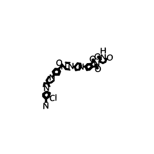 N#Cc1ccc(N2CCC3(CCN(c4ccc(C(=O)N5CCN(C6CCN(c7ccc8c(c7)C(=O)N(C7CCC(=O)NC7=O)C8=O)CC6)CC5)cc4)CC3)C2)cc1Cl